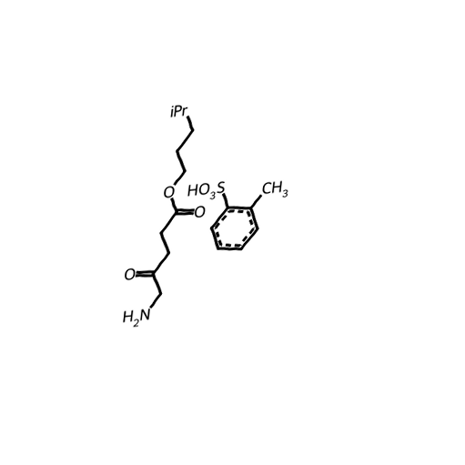 CC(C)CCCOC(=O)CCC(=O)CN.Cc1ccccc1S(=O)(=O)O